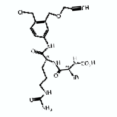 C#CCOCc1cc(NC(=O)[C@H](CCCNC(N)=O)NC(=O)[C@@H](NC(=O)O)C(C)C)ccc1CCl